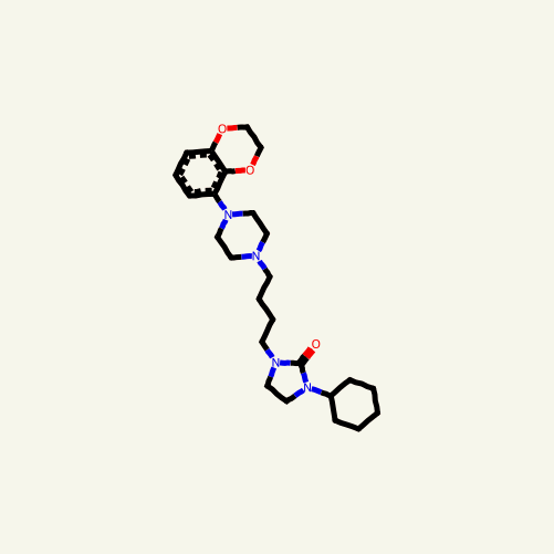 O=C1N(CCCCN2CCN(c3cccc4c3OCCO4)CC2)CCN1C1CCCCC1